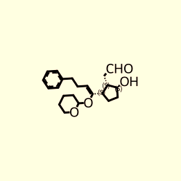 O=CC[C@H]1[C@@H](C(=CCCc2ccccc2)OC2CCCCO2)CC[C@@H]1O